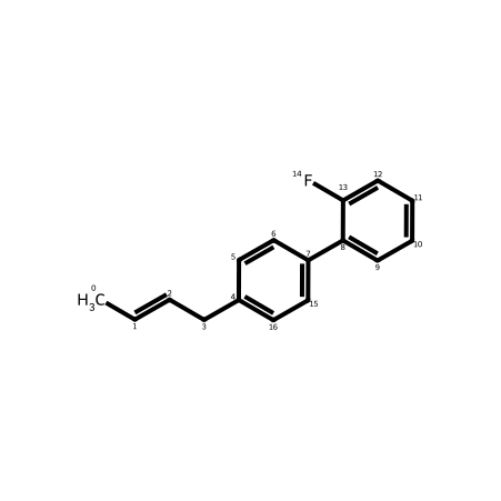 CC=CCc1ccc(-c2ccccc2F)cc1